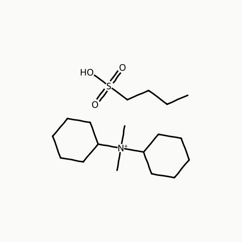 CCCCS(=O)(=O)O.C[N+](C)(C1CCCCC1)C1CCCCC1